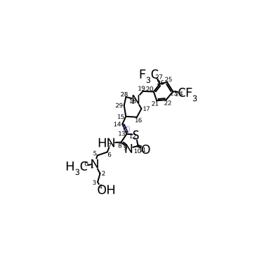 CN(CCO)CCNC1=NC(=O)S/C1=C\C1CCN(Cc2ccc(C(F)(F)F)cc2C(F)(F)F)CC1